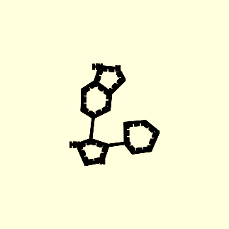 c1ccc(-c2nc[nH]c2-c2ccc3[nH]ncc3c2)cc1